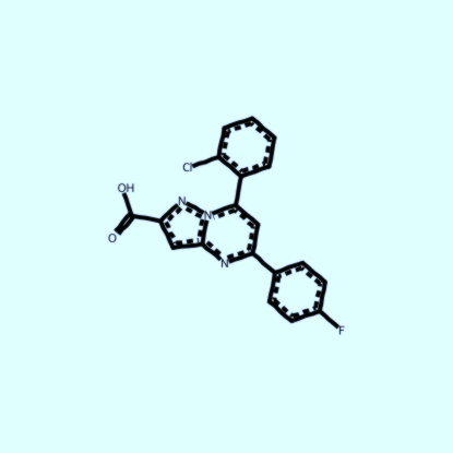 O=C(O)c1cc2nc(-c3ccc(F)cc3)cc(-c3ccccc3Cl)n2n1